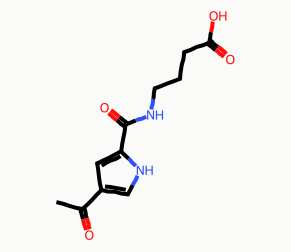 CC(=O)c1c[nH]c(C(=O)NCCCC(=O)O)c1